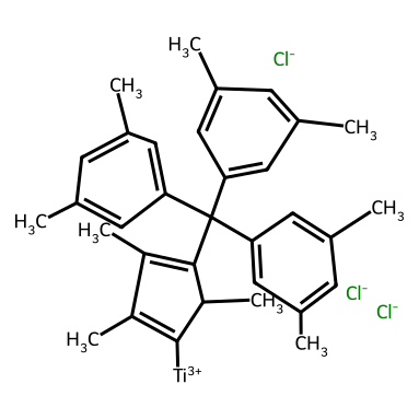 CC1=[C]([Ti+3])C(C)C(C(c2cc(C)cc(C)c2)(c2cc(C)cc(C)c2)c2cc(C)cc(C)c2)=C1C.[Cl-].[Cl-].[Cl-]